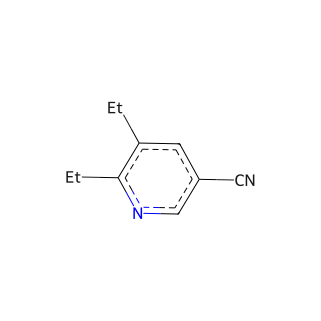 CCc1cc(C#N)cnc1CC